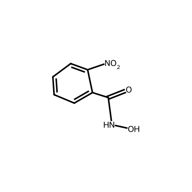 O=C(NO)c1ccccc1[N+](=O)[O-]